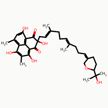 C/C(=C\CC/C(C)=C/CC1(O)C(=O)c2c(O)cc(C)c3c(O)c(C)c(O)c(c23)C1=O)CC/C=C1/CCC(C(C)(C)O)OC1